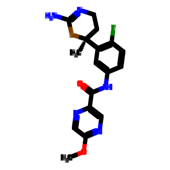 COc1cnc(C(=O)Nc2ccc(F)c([C@]3(C)CCN=C(N)S3)c2)cn1